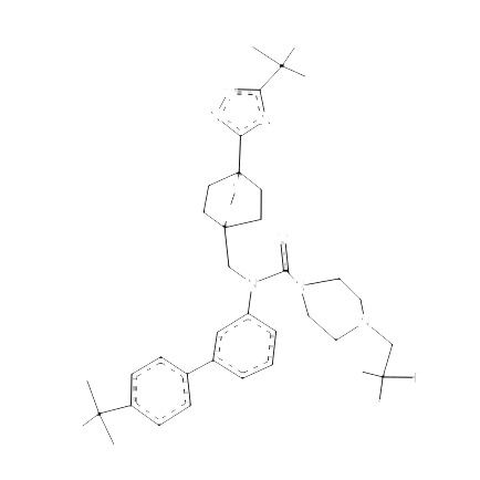 CC(C)(O)c1ccc(-c2cccc(N(CC34CCC(c5noc(C(C)(C)F)n5)(CC3)CC4)C(=O)N3CCN(CC(F)(F)F)CC3)c2)cc1